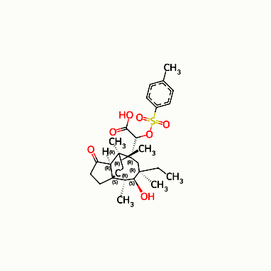 CC[C@]1(C)C[C@@H](C(OS(=O)(=O)c2ccc(C)cc2)C(=O)O)[C@@]2(C)[C@H](C)CC[C@]3(CCC(=O)[C@H]32)[C@@H](C)[C@@H]1O